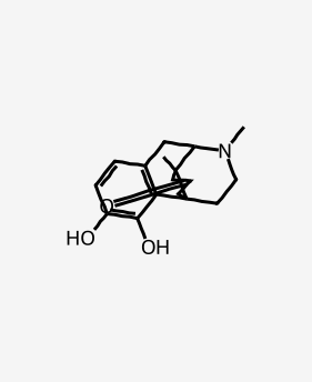 CN1CCC23CC(=O)CC2(C)C1Cc1ccc(O)c(O)c13